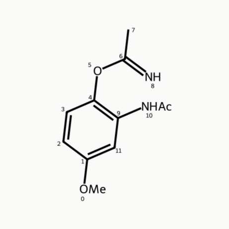 COc1ccc(OC(C)=N)c(NC(C)=O)c1